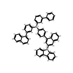 c1ccc(-c2cccc(N(c3ccc(-c4cc(-n5c6ccccc6c6ccccc65)cc5ccccc45)cc3)c3cccc(-c4cccc5ccccc45)c3)c2)cc1